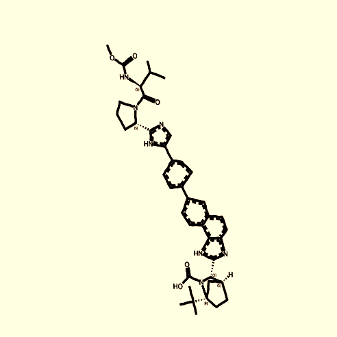 COC(=O)N[C@H](C(=O)N1CCC[C@H]1c1ncc(-c2ccc(-c3ccc4c(ccc5nc([C@@H]6[C@H]7CC[C@](C(C)(C)C)(C7)N6C(=O)O)[nH]c54)c3)cc2)[nH]1)C(C)C